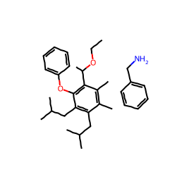 CCOC(C)c1c(C)c(C)c(CC(C)C)c(CC(C)C)c1Oc1ccccc1.NCc1ccccc1